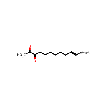 CCCCCCCC=CCCCCCCC(=O)C(=O)C(=O)O